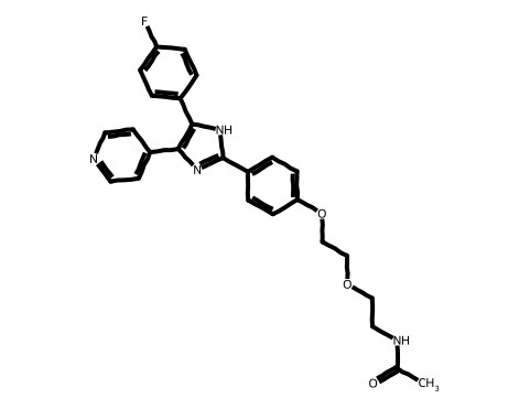 CC(=O)NCCOCCOc1ccc(-c2nc(-c3ccncc3)c(-c3ccc(F)cc3)[nH]2)cc1